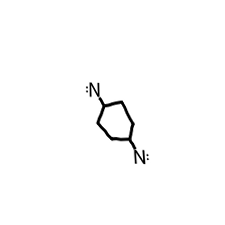 [N]C1CCC([N])CC1